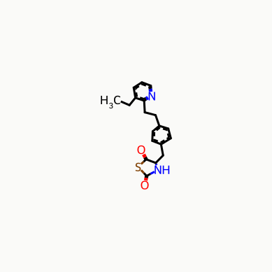 CCc1cccnc1CCc1ccc(CC2NC(=O)SC2=O)cc1